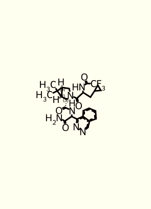 CC1(C)[C@@H]2[C@@H](C(=O)NC(C(N)=O)c3nncc4ccccc34)N(C(=O)C(CC3CC3)NC(=O)C(F)(F)F)C[C@@H]21